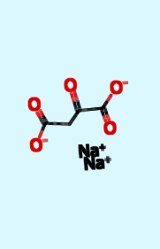 O=C([O-])CC(=O)C(=O)[O-].[Na+].[Na+]